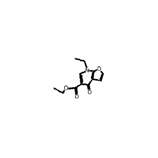 CCOC(=O)c1cn(CC)c2occc2c1=O